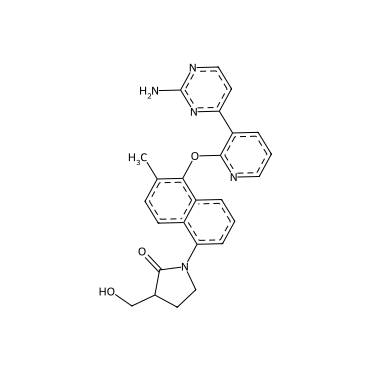 Cc1ccc2c(N3CCC(CO)C3=O)cccc2c1Oc1ncccc1-c1ccnc(N)n1